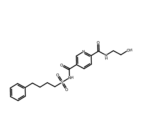 O=C(NS(=O)(=O)CCCCc1ccccc1)c1ccc(C(=O)NCCO)nc1